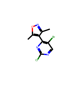 Cc1noc(C)c1-c1nc(Cl)ncc1Br